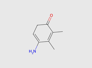 CC1=C(C)C(N)=CCC1=O